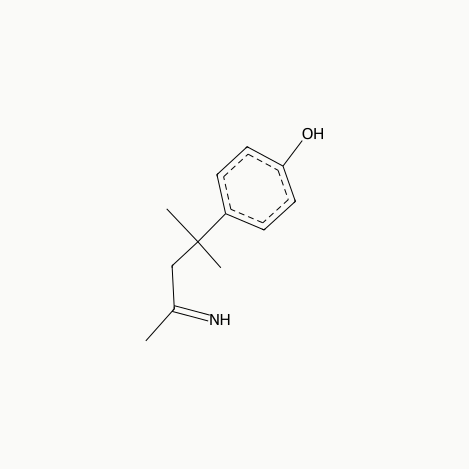 CC(=N)CC(C)(C)c1ccc(O)cc1